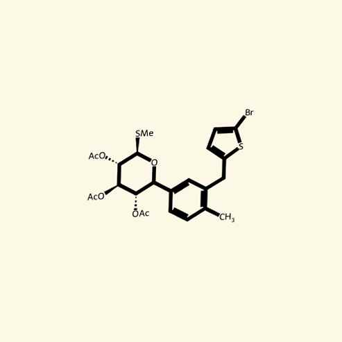 CS[C@H]1OC(c2ccc(C)c(Cc3ccc(Br)s3)c2)[C@H](OC(C)=O)[C@@H](OC(C)=O)[C@@H]1OC(C)=O